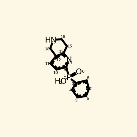 O=P(O)(c1ccccc1)c1ccc2c(n1)CCNC2